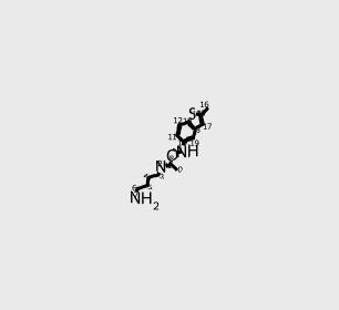 C/C(=N\CCCCN)ONc1ccc2sc(C)cc2c1